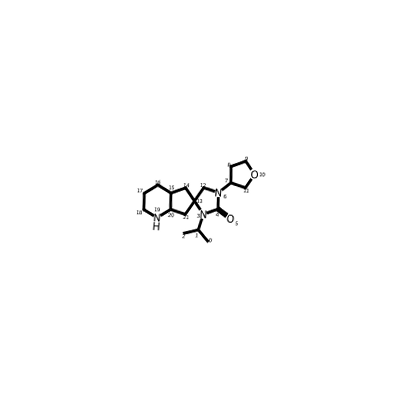 CC(C)N1C(=O)N(C2CCOC2)CC12CC1CCCNC1C2